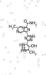 CCN/C(=C(/O)C(C)=N)c1n[nH]c(-c2nc(C(N)=O)n3cc(C)ncc23)n1